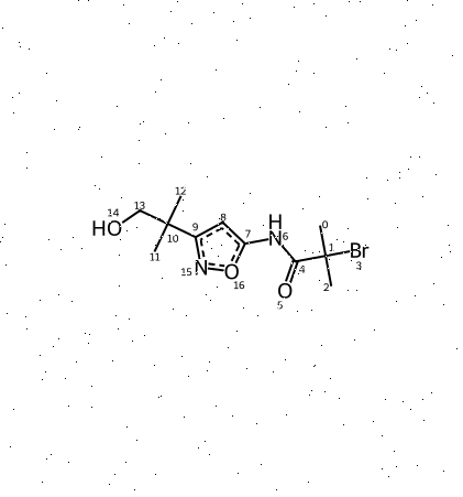 CC(C)(Br)C(=O)Nc1cc(C(C)(C)CO)no1